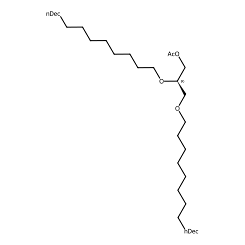 CCCCCCCCCCCCCCCCCCOC[C@H](COC(C)=O)OCCCCCCCCCCCCCCCCCC